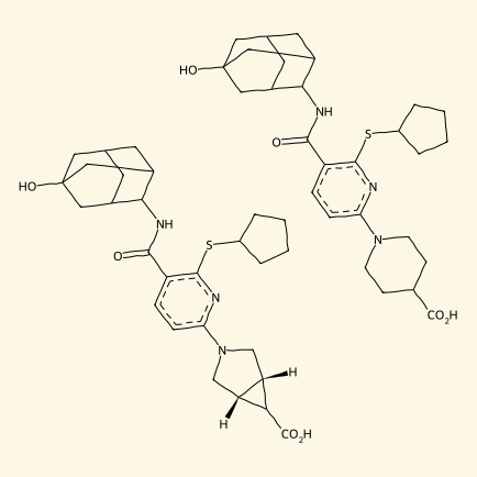 O=C(NC1C2CC3CC1CC(O)(C3)C2)c1ccc(N2CCC(C(=O)O)CC2)nc1SC1CCCC1.O=C(NC1C2CC3CC1CC(O)(C3)C2)c1ccc(N2C[C@@H]3C(C(=O)O)[C@@H]3C2)nc1SC1CCCC1